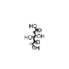 O=C(O)C[C@@H](O)[C@H](O)C(=O)CO